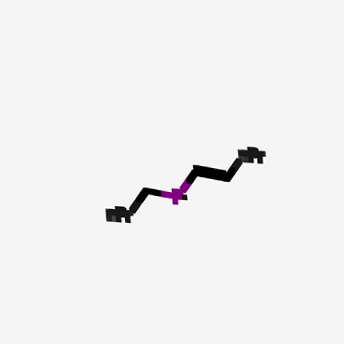 CCC/C=C/[P]CCCC